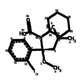 CO[C@](CC(C)C)(c1ccccc1I)N(C(=O)O)C1CCCCC1